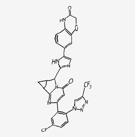 O=C1COc2cc(-c3cnc(C4C5CC5c5nc(-c6cc(Cl)ccc6-n6cc(C(F)(F)F)nn6)cc(=O)n54)[nH]3)ccc2N1